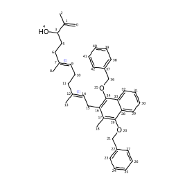 C=C(C)C(O)CC/C(C)=C/CC/C(C)=C/Cc1c(C)c(OCc2ccccc2)c2ccccc2c1OCc1ccccc1